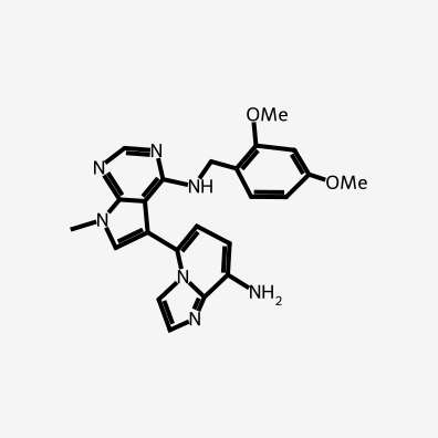 COc1ccc(CNc2ncnc3c2c(-c2ccc(N)c4nccn24)cn3C)c(OC)c1